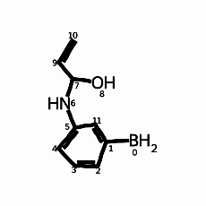 Bc1cccc(NC(O)C=C)c1